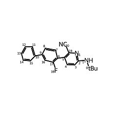 CC(C)(C)Nc1ccc(-c2ccc(-c3ccccc3)cc2F)c(C#N)n1